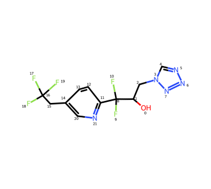 OC(Cn1cnnn1)C(F)(F)c1ccc(CC(F)(F)F)cn1